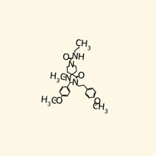 CCCNC(=O)N1CCC2(CC1)C(=O)N(CCc1ccc(OC)cc1)C(c1ccc(OC)cc1)N2C